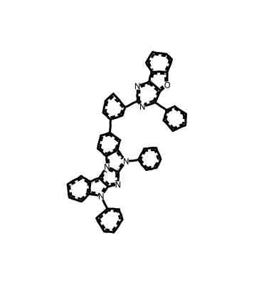 c1ccc(-c2nc(-c3cccc(-c4ccc5c(c4)n(-c4ccccc4)c4nc6c(c7ccccc7n6-c6ccccc6)n54)c3)nc3c2oc2ccccc23)cc1